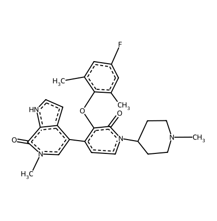 Cc1cc(F)cc(C)c1Oc1c(-c2cn(C)c(=O)c3[nH]ccc23)ccn(C2CCN(C)CC2)c1=O